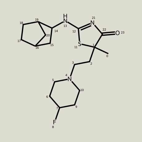 CC1(CCN2CCC(F)CC2)SC(NC2CC3CCC2C3)=NC1=O